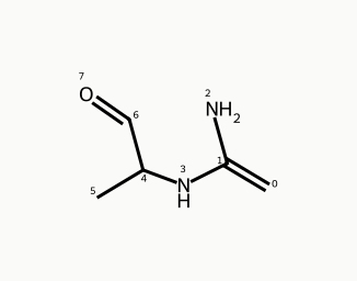 C=C(N)NC(C)C=O